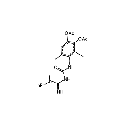 CCCNC(=N)NC(=O)Nc1c(C)cc(OC(C)=O)c(OC(C)=O)c1C